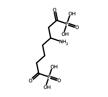 NC(CCCC(=O)P(=O)(O)O)CC(=O)P(=O)(O)O